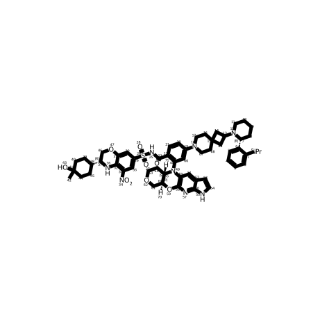 CC(C)c1ccccc1[C@H]1CCCCN1C1CC2(CCN(c3ccc(C(=O)NS(=O)(=O)c4cc5c(c([N+](=O)[O-])c4)N[C@H](C4CCC(C)(O)CC4)CO5)c(N4c5cc6cc[nH]c6nc5O[C@H]5COCC[C@@H]54)c3)CC2)C1